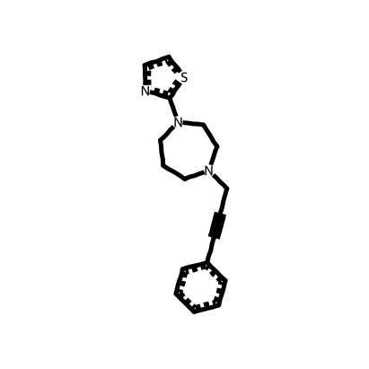 C(#Cc1ccccc1)CN1CCCN(c2nccs2)CC1